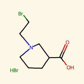 Br.O=C(O)C1CCCN(CCBr)C1